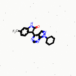 O=C1Nc2cc(C(F)(F)F)ccc2C1c1ncnc2c1cnn2C1CCCCC1